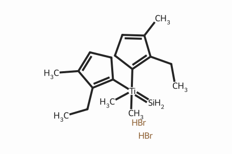 Br.Br.CCC1=[C]([Ti]([CH3])([CH3])(=[SiH2])[C]2=C(CC)C(C)=CC2)CC=C1C